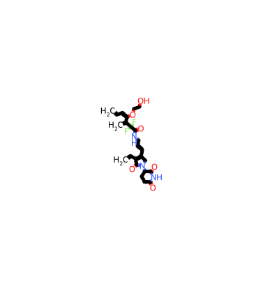 C=C/C=C(/OCCO)C(=C)C(F)(F)C(=O)NC/C=C/C1=C(C=C)C(=O)N(C2CCC(=O)NC2=O)C1